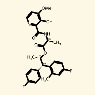 COc1ccnc(C(=O)N[C@@H](C)C(=O)O[C@@H](C)[C@@H](c2ccc(F)cc2)c2ccc(F)cc2C)c1O